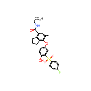 Cc1cc(C(=O)NCC(=O)O)c2c(c1Oc1ccc(O)c(S(=O)(=O)c3ccc(F)cc3)c1)CCC2